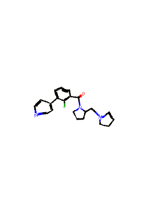 O=C(c1cccc(-c2ccncc2)c1F)N1CCCC1CN1CCCC1